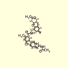 CC(=O)Nc1cn2nc(-c3cc(C(=O)NCc4cc(F)cc(F)c4OC4CCOC(C)C4)c(C)nc3C)ccc2n1